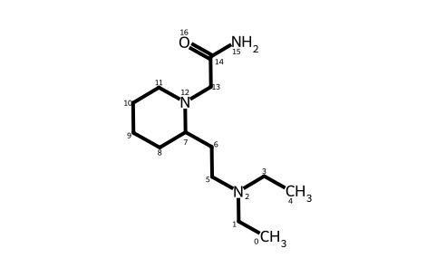 CCN(CC)CCC1CCCCN1CC(N)=O